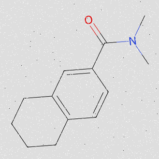 CN(C)C(=O)c1ccc2c(c1)CCCC2